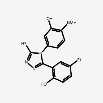 CCc1ccc(O)c(-c2nnc(S)n2-c2ccc(NC)c(O)c2)c1